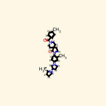 Cc1ccc(C(=O)N2CCC3(CC2)CCN(c2ccc(N4CCC(N5CCCC5C)C4)cc2C)C3=O)cc1